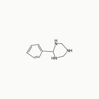 c1ccc(C2NCNCN2)cc1